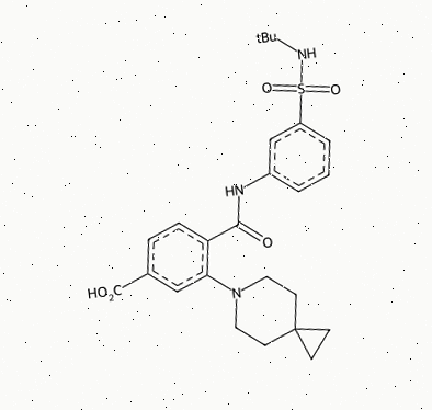 CC(C)(C)NS(=O)(=O)c1cccc(NC(=O)c2ccc(C(=O)O)cc2N2CCC3(CC2)CC3)c1